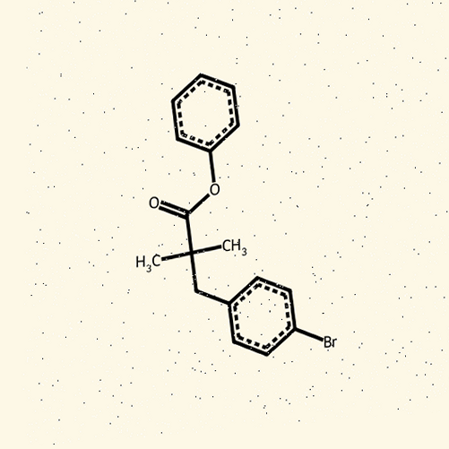 CC(C)(Cc1ccc(Br)cc1)C(=O)Oc1ccccc1